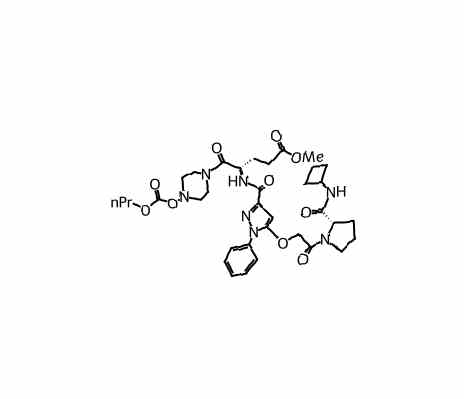 CCCOC(=O)ON1CCN(C(=O)[C@H](CCC(=O)OC)NC(=O)c2cc(OCC(=O)N3CCC[C@H]3C(=O)NC3CCC3)n(-c3ccccc3)n2)CC1